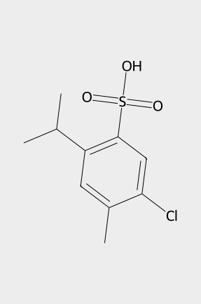 Cc1cc(C(C)C)c(S(=O)(=O)O)cc1Cl